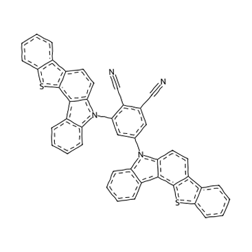 N#Cc1cc(-n2c3ccccc3c3c4sc5ccccc5c4ccc32)cc(-n2c3ccccc3c3c4sc5ccccc5c4ccc32)c1C#N